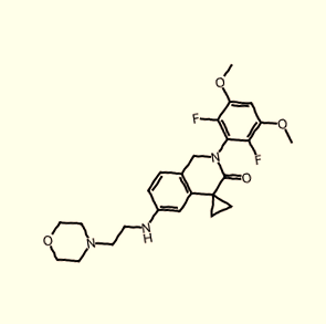 COc1cc(OC)c(F)c(N2Cc3ccc(NCCN4CCOCC4)cc3C3(CC3)C2=O)c1F